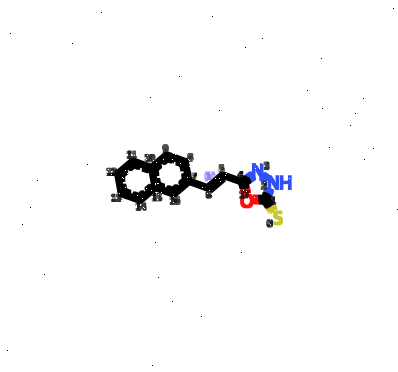 S=c1[nH]nc(/C=C/c2ccc3ccccc3c2)o1